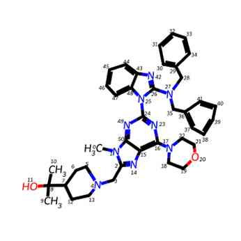 Cn1c(CN2CCC(C(C)(C)O)CC2)nc2c(N3CCOCC3)nc(-n3c(N(Cc4ccccc4)Cc4ccccc4)nc4ccccc43)nc21